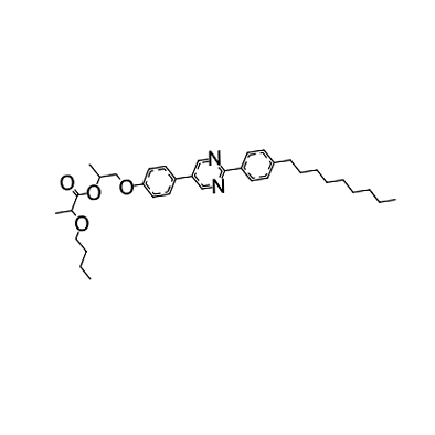 CCCCCCCCCc1ccc(-c2ncc(-c3ccc(OCC(C)OC(=O)C(C)OCCCC)cc3)cn2)cc1